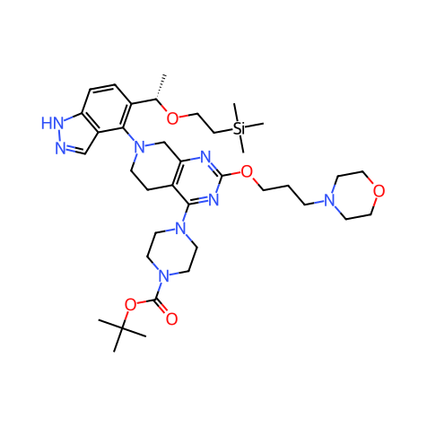 C[C@H](OCC[Si](C)(C)C)c1ccc2[nH]ncc2c1N1CCc2c(nc(OCCCN3CCOCC3)nc2N2CCN(C(=O)OC(C)(C)C)CC2)C1